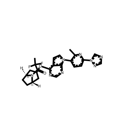 Cc1nc(-n2cncn2)ccc1-n1ccc2c(OC3C[C@@H]4CC[C@@H](C3)N4C(=O)C(C)(F)F)ncnc21